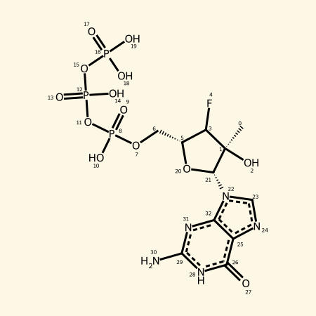 C[C@@]1(O)C(F)[C@@H](COP(=O)(O)OP(=O)(O)OP(=O)(O)O)O[C@H]1n1cnc2c(=O)[nH]c(N)nc21